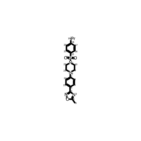 Cc1nc(-c2ccc(N3CCN(S(=O)(=O)c4ccc(C(C)C)cc4)CC3)cc2)no1